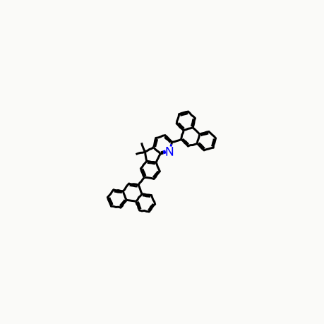 CC1(C)c2cc(-c3cc4ccccc4c4ccccc34)ccc2-c2nc(-c3cc4ccccc4c4ccccc34)ccc21